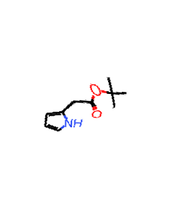 CC(C)(C)OC(=O)Cc1ccc[nH]1